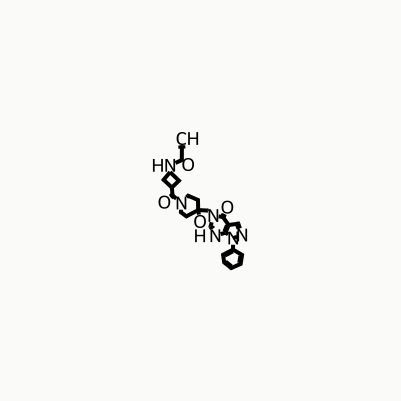 C#CC(=O)NC1CC(C(=O)N2CCC(O)(Cn3cnc4c(cnn4-c4ccccc4)c3=O)CC2)C1